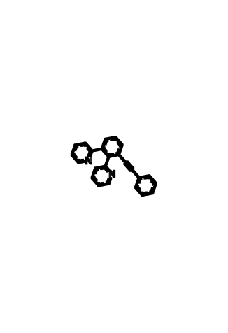 C(#Cc1cccc(-c2ccccn2)c1-c1ccccn1)c1ccccc1